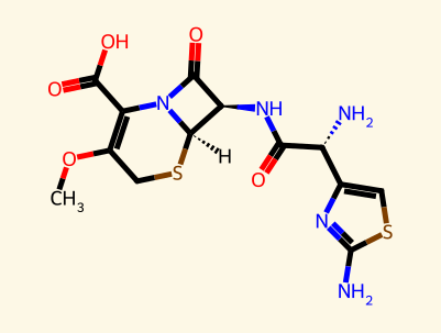 COC1=C(C(=O)O)N2C(=O)[C@@H](NC(=O)[C@H](N)c3csc(N)n3)[C@H]2SC1